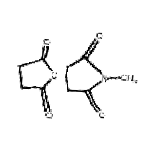 CN1C(=O)CCC1=O.O=C1CCC(=O)O1